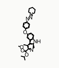 COCc1c(C(=O)OC(C)C)ncc2[nH]c3ccc(Oc4ccc(N=NN5CCCCC5)cc4)cc3c12